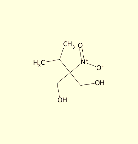 CC(C)C(CO)(CO)[N+](=O)[O-]